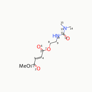 COC(=O)/C=C/C(=O)OCCNC(=O)N(C)C